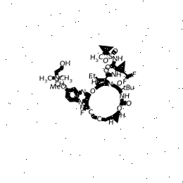 CC[C@@H]1[C@@H]2CN(C(=O)[C@H](C(C)(C)C)NC(=O)O[C@@H]3C[C@H]3CCCCC(F)(F)c3nc4ccc(OC)cc4nc3O2)[C@@H]1C(=O)N[C@]1(C(=O)NS(=O)(=O)C2(C)CC2)C[C@H]1C(F)F.C[N+](C)(C)CCO